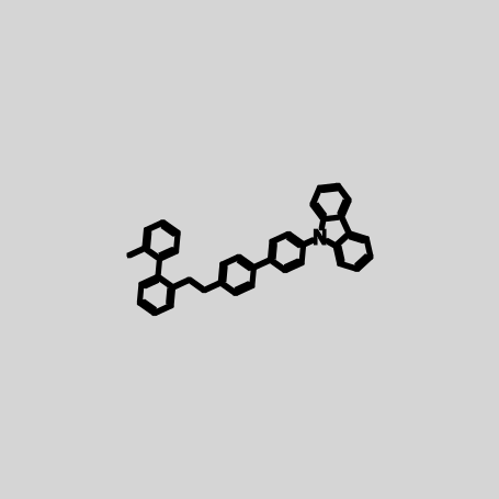 Cc1ccccc1-c1ccccc1CCc1ccc(-c2ccc(-n3c4ccccc4c4ccccc43)cc2)cc1